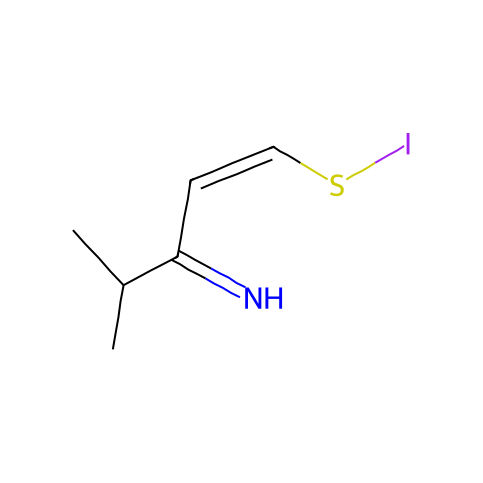 CC(C)C(=N)/C=C\SI